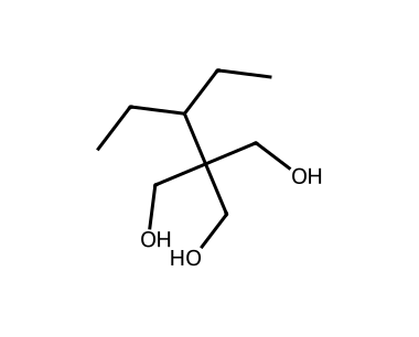 CCC(CC)C(CO)(CO)CO